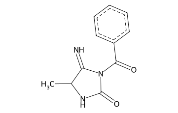 CC1NC(=O)N(C(=O)c2ccccc2)C1=N